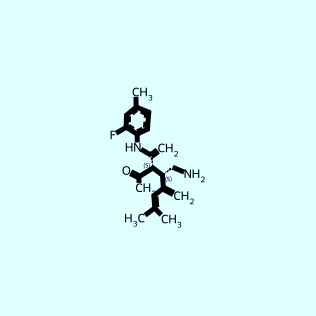 C=C(Nc1ccc(C)cc1F)[C@@H](C(C)=O)[C@H](CN)C(=C)C=C(C)C